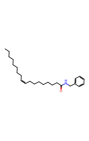 CCCCCCCC/C=C\CCCCCCCC(=O)NCc1ccccc1